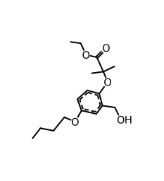 CCCCOc1ccc(OC(C)(C)C(=O)OCC)c(CO)c1